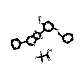 CC(C)Oc1ccc(OCc2ccccc2)cc1-c1nc2cc(-c3ccccc3)cnc2[nH]1.O=C(O)C(F)(F)F